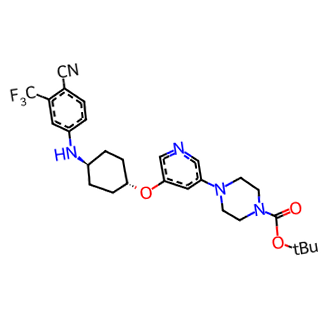 CC(C)(C)OC(=O)N1CCN(c2cncc(O[C@H]3CC[C@H](Nc4ccc(C#N)c(C(F)(F)F)c4)CC3)c2)CC1